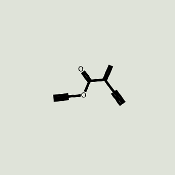 C#COC(=O)C(=C)C#C